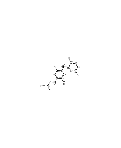 CCN(C)C=Nc1cc(C)c(Nc2cc(C)ccc2C)cc1Cl